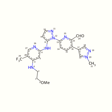 COCCNc1cc(Nc2ccnn2-c2ccc(-c3cnn(C)c3)c(C=O)n2)ncc1C(F)(F)F